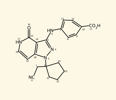 N#CCC1(n2nc(Nc3ccc(C(=O)O)cc3)c3c(=O)[nH]ccc32)CCCC1